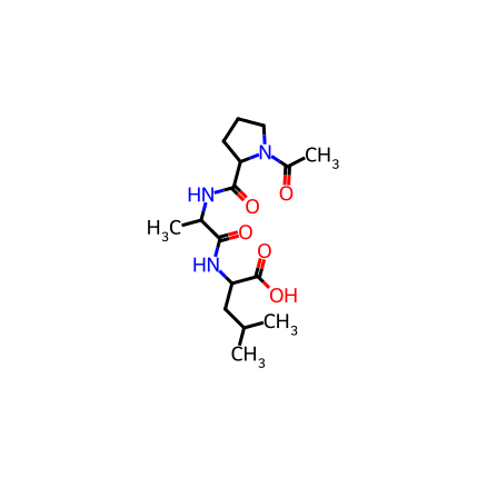 CC(=O)N1CCCC1C(=O)NC(C)C(=O)NC(CC(C)C)C(=O)O